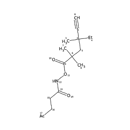 C#CC(C)(CC)CC(C)(C)C(=O)ONC(=O)CCC(C)=O